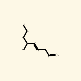 CCCC(C)C=CC[C]=O